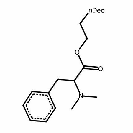 CCCCCCCCCCCCOC(=O)C(Cc1ccccc1)N(C)C